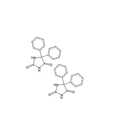 O=C1NC(=O)C(c2ccccc2)(c2ccccc2)N1.O=C1NC(=O)C(c2ccccc2)(c2ccccc2)N1